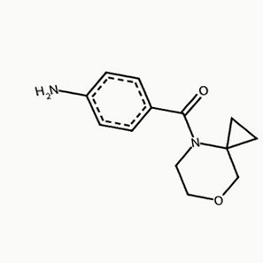 Nc1ccc(C(=O)N2CCOCC23CC3)cc1